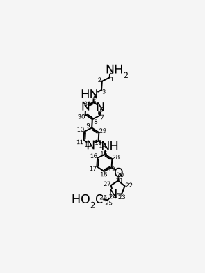 NCCCNc1ncc(-c2ccnc(Nc3cccc(OC4CCN(CC(=O)O)C4)c3)c2)cn1